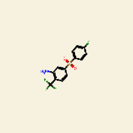 Nc1cc(S(=O)(=O)c2ccc(F)cc2)ccc1C(F)(F)F